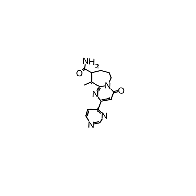 C[C]1c2nc(-c3ccncn3)cc(=O)n2CCCC1C(N)=O